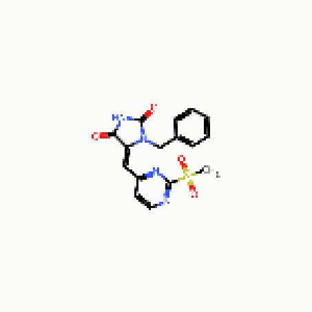 CS(=O)(=O)c1nccc(/C=C2/C(=O)NC(=O)N2Cc2ccccc2)n1